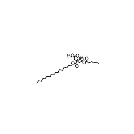 CCCCCCCCCCCCCCCCCOC(=O)C(O)(CC(=O)O)CC(=O)OC(=O)CCCCC